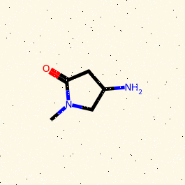 CN1CC(N)CC1=O